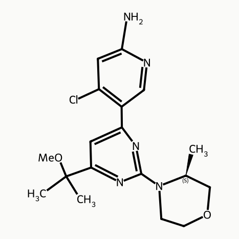 COC(C)(C)c1cc(-c2cnc(N)cc2Cl)nc(N2CCOC[C@@H]2C)n1